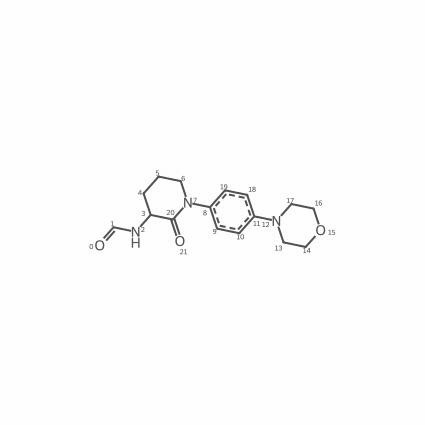 O=CNC1CCCN(c2ccc(N3CCOCC3)cc2)C1=O